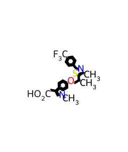 Cc1nc(-c2ccc(C(F)(F)F)cc2)sc1C(C)COc1ccc2c(CC(=O)O)cn(C)c2c1